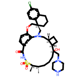 C[C@@H]1[C@@H](C)CCC[C@@](O)(CN2CCNCC2)[C@@H]2CC[C@H]2CN2C[C@@]3(CCCc4cc(Cl)ccc43)COc3ccc(cc32)C(=O)NS1(=O)=O